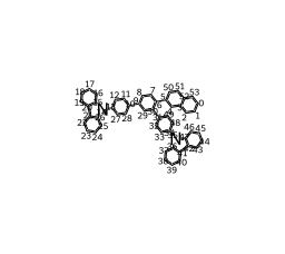 c1ccc2cc(-c3ccc(-c4ccc(-n5c6ccccc6c6ccccc65)cc4)cc3-c3ccc(-n4c5ccccc5c5ccccc54)cc3)ccc2c1